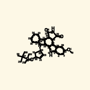 COc1ccc2[nH]c3c(c4c(c5c6ccccc6n([C@H]6C=C[C@@H](O[Si](C)(C)C(C)(C)C)C6)c35)C(=O)NC4=O)c2c1